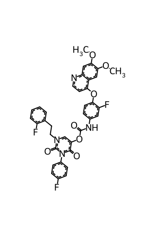 COc1cc2nccc(Oc3ccc(NC(=O)Oc4cn(CCc5ccccc5F)c(=O)n(-c5ccc(F)cc5)c4=O)cc3F)c2cc1OC